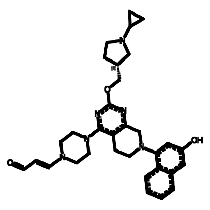 O=CC=CN1CCN(c2nc(OC[C@@H]3CCN(C4CC4)C3)nc3c2CCN(c2cc(O)cc4ccccc24)C3)CC1